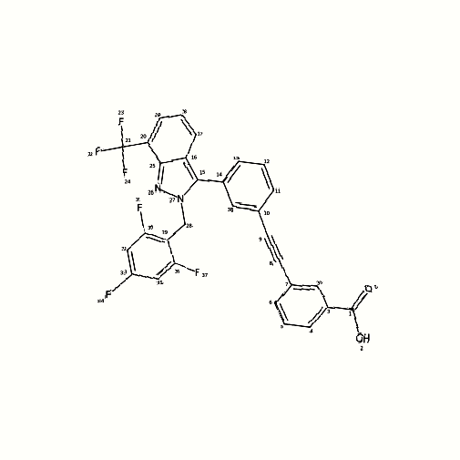 O=C(O)c1cccc(C#Cc2cccc(-c3c4cccc(C(F)(F)F)c4nn3Cc3c(F)cc(F)cc3F)c2)c1